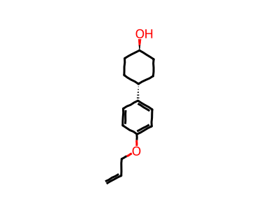 C=CCOc1ccc([C@H]2CC[C@H](O)CC2)cc1